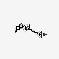 O=C(Nc1cc2cc(F)ccc2cn1)OCCCCCCOS(=O)(=O)O